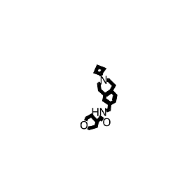 O=C(NCc1ccc2c(c1)CCN(C1CCC1)CC2)C1CCOCC1